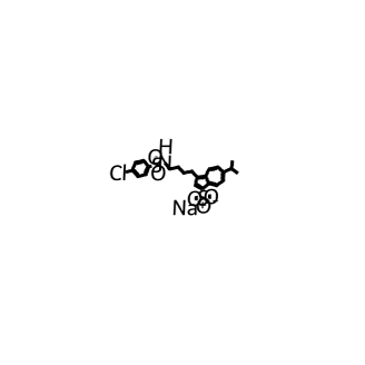 CC(C)c1ccc2c(CCCCNS(=O)(=O)c3ccc(Cl)cc3)cc(S(=O)(=O)[O-])c-2cc1.[Na+]